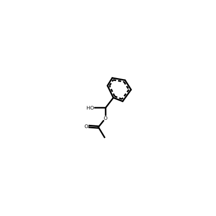 CC(=O)OC(O)c1ccccc1